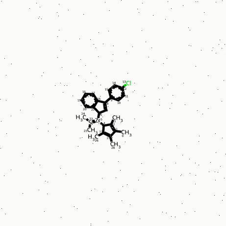 CC1=C(C)[CH]([Zr]([CH]2C=C(c3ccc(Cl)cc3)c3ccccc32)=[Si](C)C)C(C)=C1C